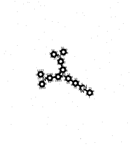 c1ccc(-c2ncc(-c3ccc(-c4ccc(-n5c6ccc(-c7ccc(N(c8ccccc8)c8ccccc8)cc7)cc6c6cc(-c7ccc(N(c8ccccc8)c8ccccc8)cc7)ccc65)cc4)cc3)cn2)cc1